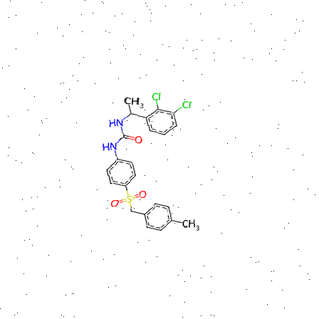 Cc1ccc(CS(=O)(=O)c2ccc(NC(=O)NC(C)c3cccc(Cl)c3Cl)cc2)cc1